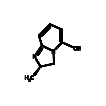 C[C@@H]1CN2C(O)=CC=CC2=N1